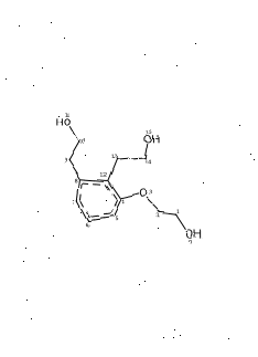 OCCOc1cccc(CCO)c1CCO